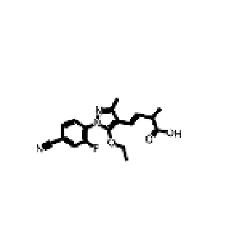 CCOc1c(C=CC(C)C(=O)O)c(C)nn1-c1ccc(C#N)cc1F